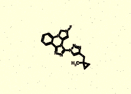 CC1(Cc2cn(-c3nnc4n3C3=CN(F)CN3c3ccccc3-4)nn2)CC1